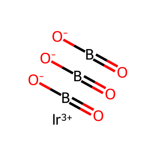 O=B[O-].O=B[O-].O=B[O-].[Ir+3]